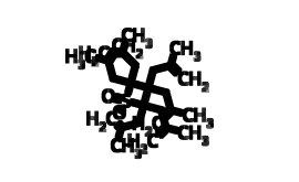 C=C(C)CC1(CC(=C)C)C(CC(=C)C)(CC(=C)C)S(=O)(=O)C1(CC(=C)C)CC(=C)C